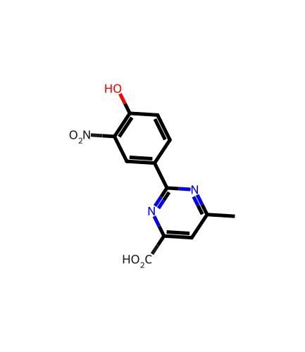 Cc1cc(C(=O)O)nc(-c2ccc(O)c([N+](=O)[O-])c2)n1